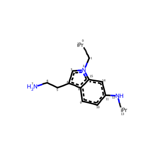 CC(C)Cn1cc(CCN)c2ccc(NC(C)C)cc21